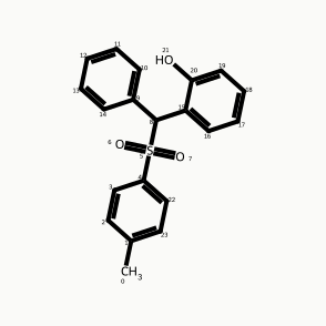 Cc1ccc(S(=O)(=O)C(c2ccccc2)c2ccccc2O)cc1